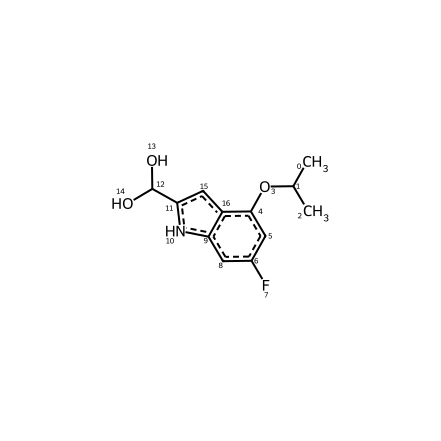 CC(C)Oc1cc(F)cc2[nH]c(C(O)O)cc12